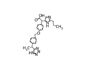 CCCc1ncc(C(C(=O)O)c2ccc(OCc3ccc(C(C)c4nnn[nH]4)cc3)cc2)[nH]1